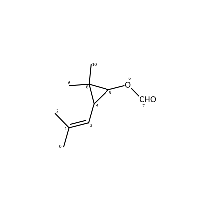 CC(C)=CC1C(OC=O)C1(C)C